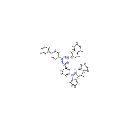 c1ccc(-c2ccc(-c3nc(-c4cccc(-n5c6ccccc6c6cc7ccccc7cc65)c4)nc(-c4ccc5ccccc5c4)n3)cc2)cc1